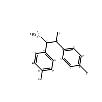 Cc1ccc(C(C)C(C(=O)O)c2ccc(C)cc2)cc1